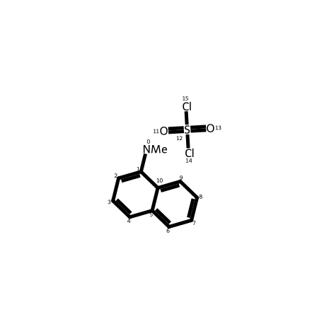 CNc1cccc2ccccc12.O=S(=O)(Cl)Cl